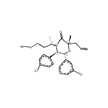 C=CC[C@]1(C)O[C@H](c2cccc(Cl)c2)[C@@H](c2ccc(Cl)cc2)N([C@@H](C)CCSC(C)(C)C)C1=O